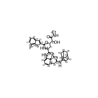 CCNC(=O)C(O)CC[C@H](NC(=O)c1cc2cccc(F)c2s1)C(=O)Nc1cccn(CC(=O)NC2C3CC4CC(C3)CC2C4)c1=O